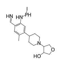 Cc1cc(C=N)c(NPI)cc1C1CCN(C2COCC2O)CC1